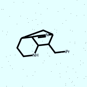 CC(C)CC1C2CC3CCNC1C3C=N2